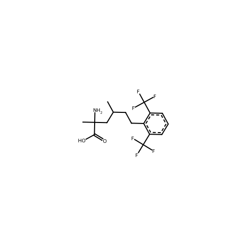 CC(CCc1c(C(F)(F)F)cccc1C(F)(F)F)CC(C)(N)C(=O)O